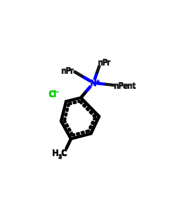 CCCCC[N+](CCC)(CCC)c1ccc(C)cc1.[Cl-]